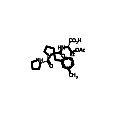 CC[C@@H](OC(C)=O)[C@H](NC(=O)C1(Cc2cccc(C)c2)CCCN1C(=O)[C@@H]1CCCN1)C(=O)O